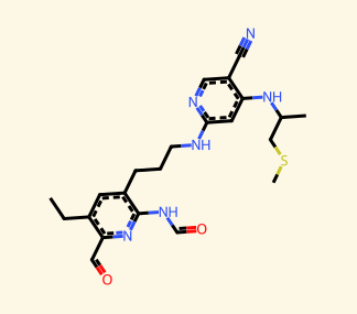 CCc1cc(CCCNc2cc(NC(C)CSC)c(C#N)cn2)c(NC=O)nc1C=O